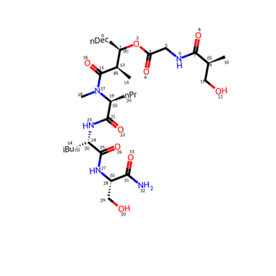 CCCCCCCCCC[C@@H](OC(=O)CNC(=O)[C@@H](C)CO)[C@@H](C)C(=O)N(C)[C@@H](CCC)C(=O)N[C@H](C(=O)N[C@@H](CO)C(N)=O)[C@@H](C)CC